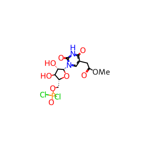 COC(=O)Cc1cn([C@@H]2O[C@H](COP(=O)(Cl)Cl)C(O)[C@@H]2O)c(=O)[nH]c1=O